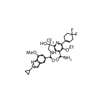 CCOc1c(C(N)=O)cc([C@@](O)(CNC(=O)c2cc(OC)c3nn(C4CC4)cc3c2)C(F)(F)F)nc1C1=CCC(F)(F)CC1